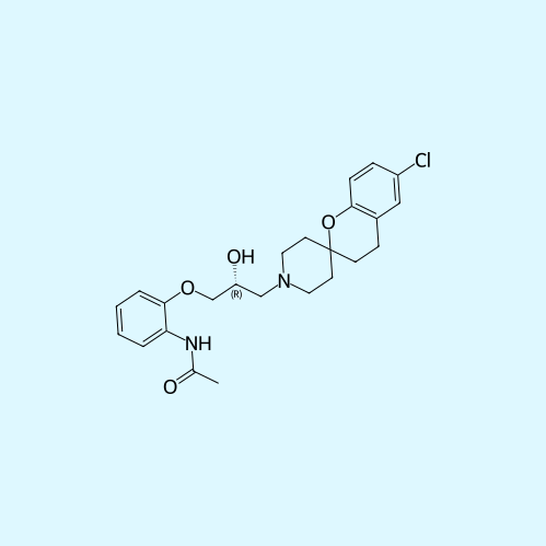 CC(=O)Nc1ccccc1OC[C@H](O)CN1CCC2(CCc3cc(Cl)ccc3O2)CC1